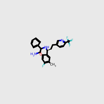 Cc1cc([C@H](CCc2ccc(C(F)(F)F)nc2)NC(C(N)=O)c2ccccc2)ccc1F